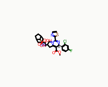 COC(=O)C1=C2CC(NS(=O)(=O)C3C4CCC3CC(O)(C(C)O)C4)CN2C(c2nccs2)=N[C@H]1c1ccc(F)cc1Cl